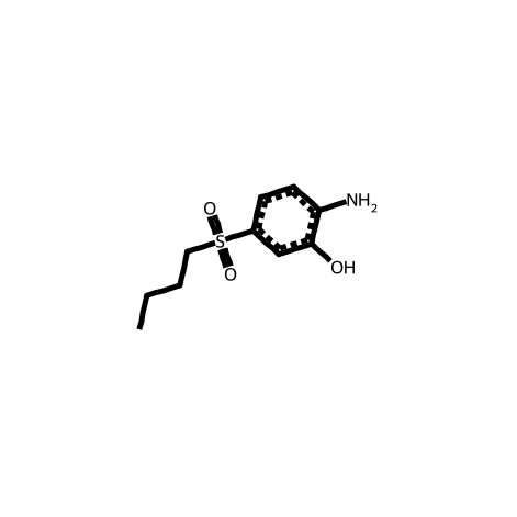 CCCCS(=O)(=O)c1ccc(N)c(O)c1